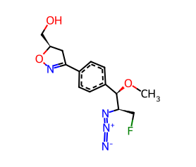 CO[C@H](c1ccc(C2=NO[C@@H](CO)C2)cc1)[C@@H](CF)N=[N+]=[N-]